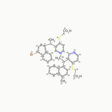 CC(c1cnccc1SCC(=O)O)c1ccc(Br)c2ccccc12.Cc1ccc(C(C)c2cnccc2SCC(=O)O)c2ccccc12